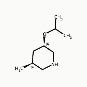 CC(C)O[C@H]1CNC[C@@H](C)C1